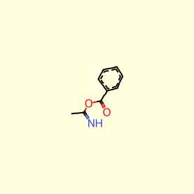 CC(=N)OC(=O)c1ccccc1